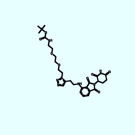 CC(C)(C)OC(=O)NCCOCCOCCn1nncc1CCNc1cccc2c1C(=O)N(C1CCC(=O)NC1=O)C2=O